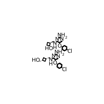 Nc1ncc(Oc2ccc(Cl)cc2)c(NC[C@@H]2CC[C@H]2O)n1.Nc1ncc(Oc2ccc(Cl)cc2)c(NC[C@H]2C[C@@H](CO)C2)n1